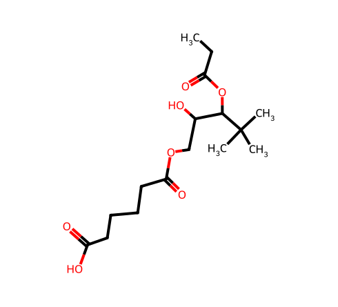 CCC(=O)OC(C(O)COC(=O)CCCCC(=O)O)C(C)(C)C